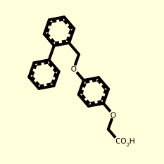 O=C(O)COc1ccc(OCc2ccccc2-c2ccccc2)cc1